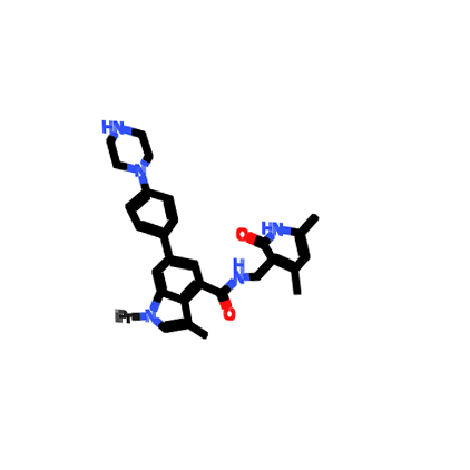 Cc1cc(C)c(CNC(=O)c2cc(-c3ccc(N4CCNCC4)cc3)cc3c2c(C)cn3C(C)C)c(=O)[nH]1